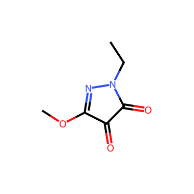 CCN1N=C(OC)C(=O)C1=O